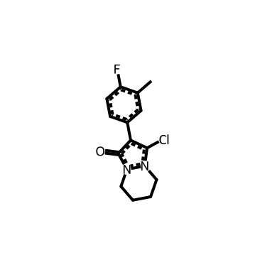 Cc1cc(-c2c(Cl)n3n(c2=O)CCCC3)ccc1F